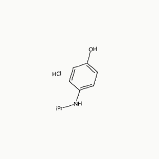 CC(C)Nc1ccc(O)cc1.Cl